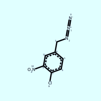 [N-]=[N+]=NCc1ccc(Cl)c([N+](=O)[O-])c1